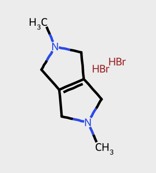 Br.Br.CN1CC2=C(C1)CN(C)C2